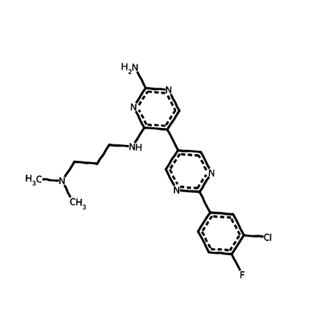 CN(C)CCCNc1nc(N)ncc1-c1cnc(-c2ccc(F)c(Cl)c2)nc1